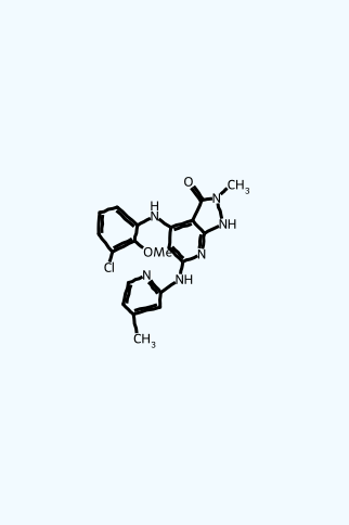 COc1c(Cl)cccc1Nc1cc(Nc2cc(C)ccn2)nc2[nH]n(C)c(=O)c12